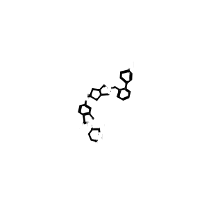 O=C1CCC(N2Cc3cc(OC4CC5CN(Cc6ccccc6-c6ccc(Cl)cc6)CC5C4)ccc3C2=O)C(=O)N1